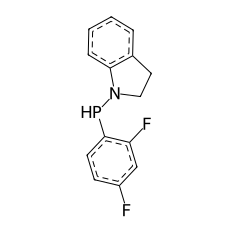 Fc1ccc(PN2CCc3ccccc32)c(F)c1